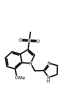 COc1cccc2c(S(C)(=O)=O)cn(CC3=NCCN3)c12